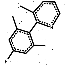 Cc1cccnc1-c1c(C)cc(F)cc1C